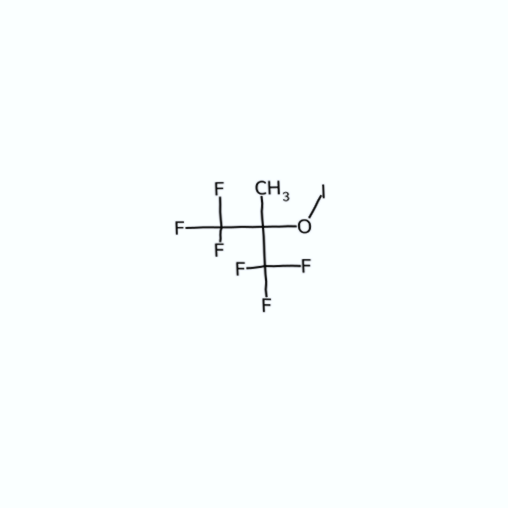 CC(OI)(C(F)(F)F)C(F)(F)F